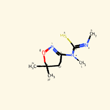 CN=C(S)N(C)C1=NOC(C)(C)C1